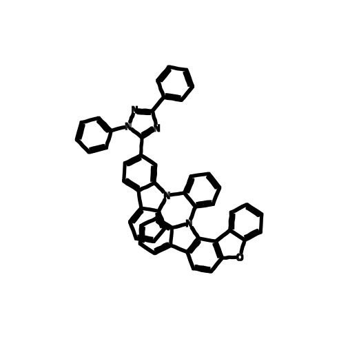 c1ccc(-c2nc(-c3ccc4c5ccccc5n(-c5ccccc5-n5c6ccccc6c6ccc7oc8ccccc8c7c65)c4c3)n(-c3ccccc3)n2)cc1